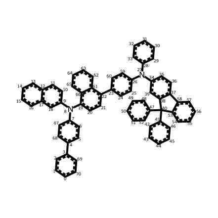 c1ccc(-c2ccc(N(c3ccc4ccccc4c3)c3ccc(-c4ccc(N(c5ccccc5)c5ccc6c(c5)C(c5ccccc5)(c5ccccc5)c5ccccc5-6)cc4)c4ccccc34)cc2)cc1